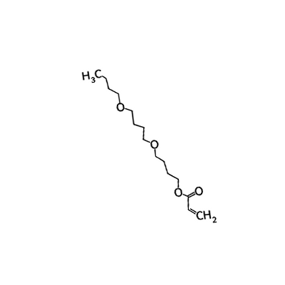 C=CC(=O)OCCCCOCCCCOCCCC